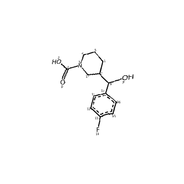 O=C(O)N1CCCC(C(O)c2ccc(F)cc2)C1